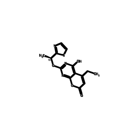 CCc1cc(=O)oc2nc(O[C@@H](C)c3nccs3)nc(O)c12